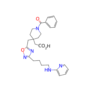 O=C(O)CC1(Cc2nc(CCCCNc3ccccn3)no2)CCN(C(=O)c2ccccc2)CC1